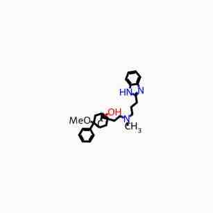 COC1(c2ccccc2)CC2CCC1CC2(O)CCN(C)CCCc1nc2ccccc2[nH]1